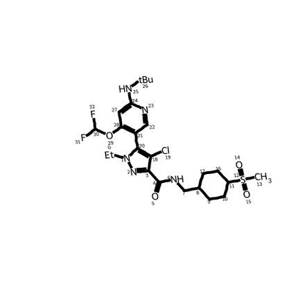 CCn1nc(C(=O)NCC2CCC(S(C)(=O)=O)CC2)c(Cl)c1-c1cnc(NC(C)(C)C)cc1OC(F)F